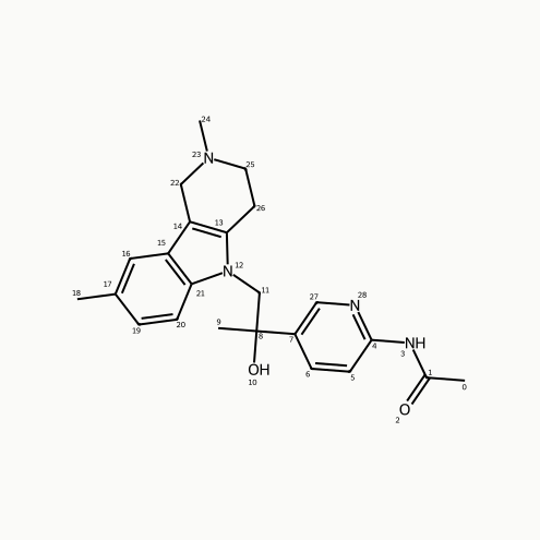 CC(=O)Nc1ccc(C(C)(O)Cn2c3c(c4cc(C)ccc42)CN(C)CC3)cn1